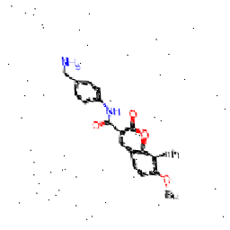 CCCc1c(O[C@@H](C)CC)ccc2cc(C(=O)Nc3ccc(CN)cc3)c(=O)oc12